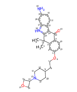 CC1(C)c2cc(OCCC3CCN(C4COC4)CC3)ccc2C(=O)c2c1[nH]c1cc(N)ccc21